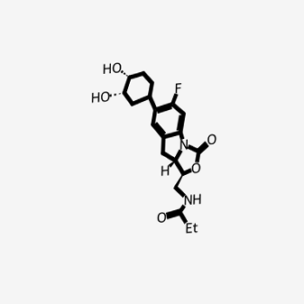 CCC(=O)NC[C@@H]1OC(=O)N2c3cc(F)c(C4CC[C@@H](O)[C@@H](O)C4)cc3C[C@@H]12